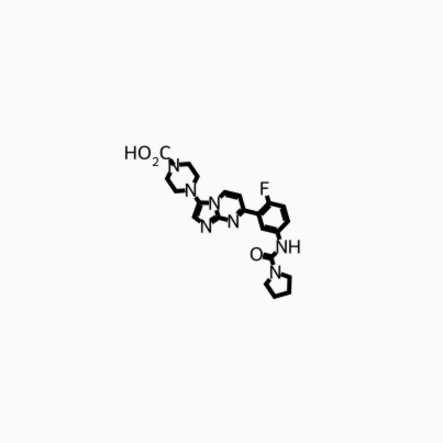 O=C(O)N1CCN(c2cnc3nc(-c4cc(NC(=O)N5CCCC5)ccc4F)ccn23)CC1